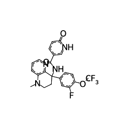 CN1CCC(NC(=O)c2ccc(=O)[nH]c2)(c2ccc(OC(F)(F)F)c(F)c2)c2ncccc21